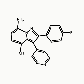 Cc1ccc(N)n2nc(-c3ccc(F)cc3)c(-c3ccncc3)c12